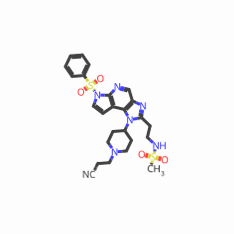 CS(=O)(=O)NCCc1nc2cnc3c(ccn3S(=O)(=O)c3ccccc3)c2n1C1CCN(CCC#N)CC1